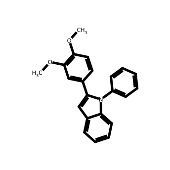 COc1ccc(-c2cc3ccccc3n2-c2ccccc2)cc1OC